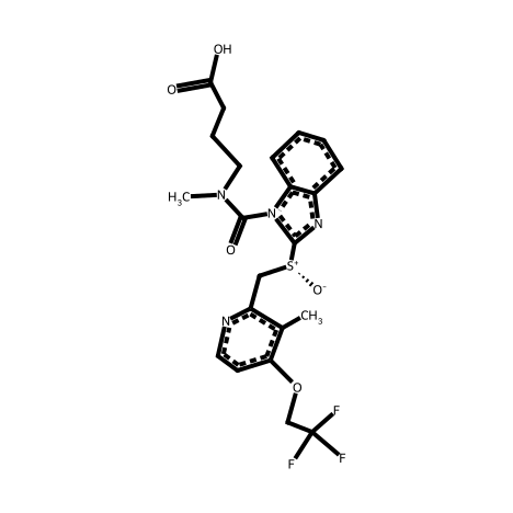 Cc1c(OCC(F)(F)F)ccnc1C[S@@+]([O-])c1nc2ccccc2n1C(=O)N(C)CCCC(=O)O